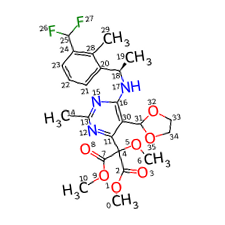 COC(=O)C(OC)(C(=O)OC)c1nc(C)nc(N[C@H](C)c2cccc(C(F)F)c2C)c1C1OCCO1